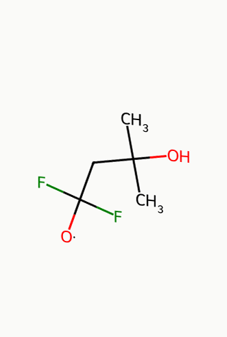 CC(C)(O)CC([O])(F)F